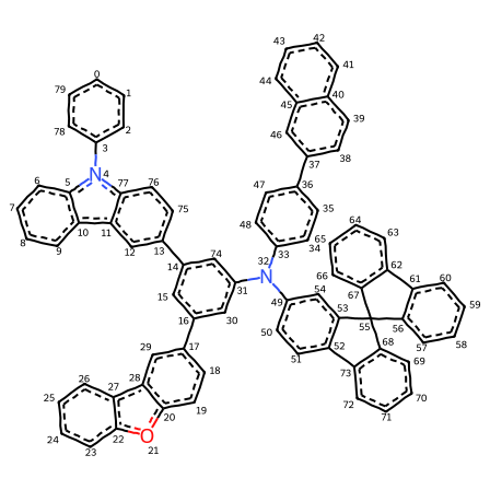 c1ccc(-n2c3ccccc3c3cc(-c4cc(-c5ccc6oc7ccccc7c6c5)cc(N(c5ccc(-c6ccc7ccccc7c6)cc5)c5ccc6c(c5)C5(c7ccccc7-c7ccccc75)c5ccccc5-6)c4)ccc32)cc1